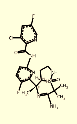 CC1(C)C(N)=N[C@](C)(c2nc(NC(=O)c3ncc(F)cc3Cl)ccc2F)[C@H]2CCN[SH]21=O